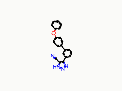 N#Cc1[nH]nnc1-c1cccc(-c2ccc(Oc3ccccc3)cc2)c1